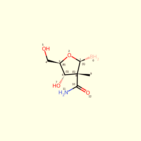 B[C@@H]1O[C@H](CO)[C@@H](O)[C@@]1(C)C(N)=O